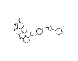 Cc1nc2cccc(NCc3ccc(CN4CC(N5C[C@@H](C)O[C@@H](C)C5)C4)cc3)c2c(=O)n1C1CCC(=O)NC1=O